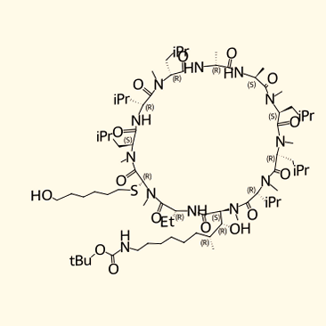 CC[C@H]1NC(=O)[C@H]([C@H](O)[C@H](C)CCCCCCNC(=O)OC(C)(C)C)N(C)C(=O)[C@@H](C(C)C)N(C)C(=O)[C@@H](CC(C)C)N(C)C(=O)[C@H](CC(C)C)N(C)C(=O)[C@H](C)NC(=O)[C@@H](C)NC(=O)[C@@H](CC(C)C)N(C)C(=O)[C@@H](C(C)C)NC(=O)[C@H](CC(C)C)N(C)C(=O)[C@@H](SCCCCCCO)N(C)C1=O